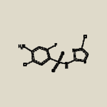 Nc1cc(F)c(S(=O)(=O)Nc2nc(Cl)cs2)cc1Cl